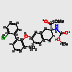 COC(=O)C1(NC(=O)OC(C)(C)C)CCc2ccc(Oc3c(-c4ccccc4Br)cccc3[N+](=O)[O-])cc2C1